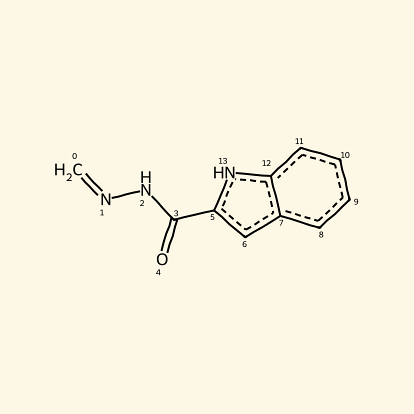 C=NNC(=O)c1cc2ccccc2[nH]1